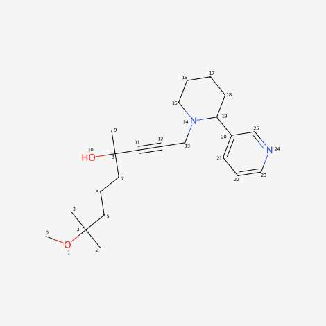 COC(C)(C)CCCC(C)(O)C#CCN1CCCCC1c1cccnc1